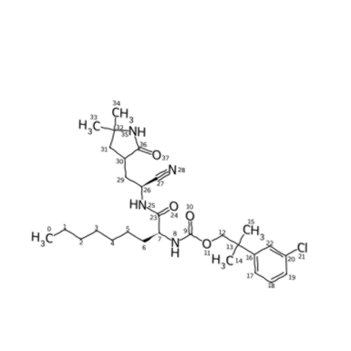 CCCCCCC[C@H](NC(=O)OCC(C)(C)c1cccc(Cl)c1)C(=O)N[C@H](C#N)CC1CC(C)(C)NC1=O